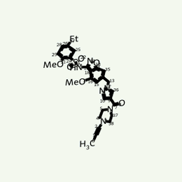 CC#CN1CCN(C(=O)c2cnn(Cc3cc(OC)c4c(NS(=O)(=O)c5cc(CC)ccc5OC)noc4c3)c2)CC1